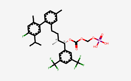 Cc1ccc(-c2cc(C(C)C)c(F)cc2C)c(CC[C@@H](C)[C@H](OC(=O)OCOP(=O)(O)O)c2cc(C(F)(F)F)cc(C(F)(F)F)c2)c1